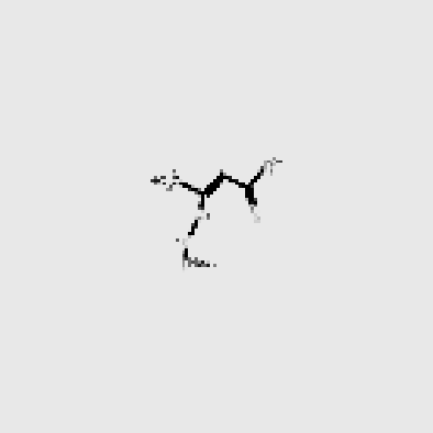 [CH2]CCC(=O)C=C(CCCCCCCCC)C(=O)O